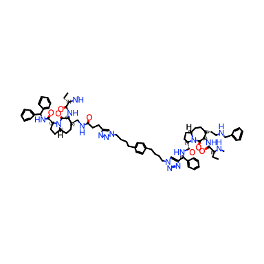 CC[C@H](NC)C(=O)N[C@@H]1C(=O)N2[C@@H](CC[C@@H]1CNC(=O)CCc1cn(CCCCc3ccc(CCCCn4cc([C@@H](NC(=O)[C@@H]5CC[C@@H]6CC[C@H](CCNCc7ccccc7)[C@H](NC(=O)[C@H](CC)NC)C(=O)N65)c5ccccc5)nn4)cc3)nn1)CC[C@H]2C(=O)NC(c1ccccc1)c1ccccc1